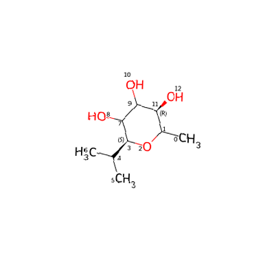 CC1O[C@@H](C(C)C)C(O)C(O)[C@H]1O